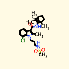 Cc1c(C(=O)NC2C3(C)CCC(C3)C2(C)C)c2cccc(Cl)c2n1CCCNS(C)(=O)=O